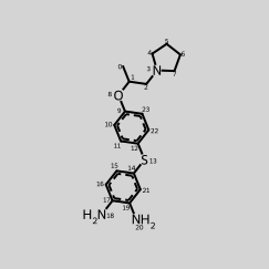 CC(CN1CCCC1)Oc1ccc(Sc2ccc(N)c(N)c2)cc1